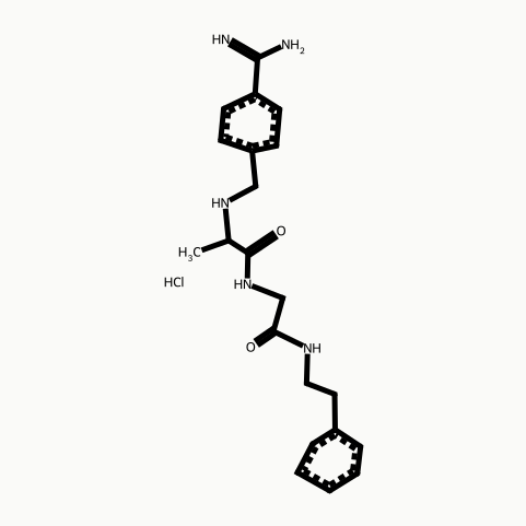 CC(NCc1ccc(C(=N)N)cc1)C(=O)NCC(=O)NCCc1ccccc1.Cl